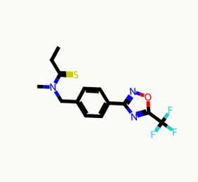 CCC(=S)N(C)Cc1ccc(-c2noc(C(F)(F)F)n2)cc1